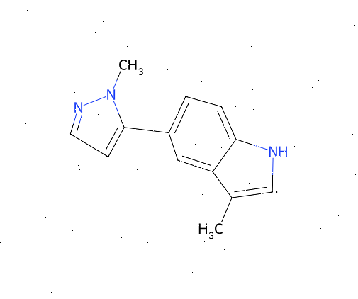 Cc1[c][nH]c2ccc(-c3ccnn3C)cc12